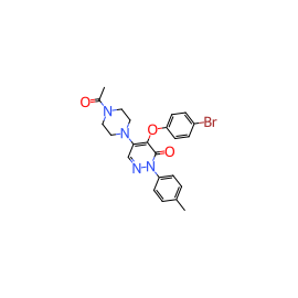 CC(=O)N1CCN(c2cnn(-c3ccc(C)cc3)c(=O)c2Oc2ccc(Br)cc2)CC1